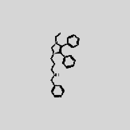 CCN1CN(CCCNCc2ccccc2)C(c2ccccc2)=C1c1ccccc1